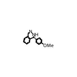 COc1ccc([C@@H]2NN=Cc3ccccc32)cc1